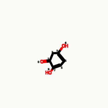 O=C1CC(O)=[C]C=C1O